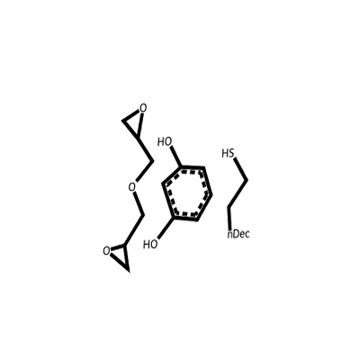 C(OCC1CO1)C1CO1.CCCCCCCCCCCCS.Oc1cccc(O)c1